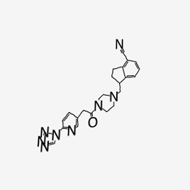 N#Cc1cccc2c1CCC2CN1CCN(C(=O)Cc2ccc(-n3cnnn3)nc2)CC1